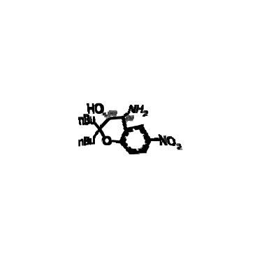 CCCCC1(CCCC)Oc2ccc([N+](=O)[O-])cc2[C@H](N)[C@H]1O